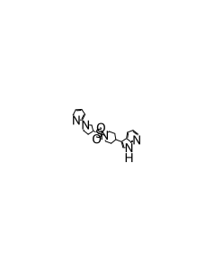 O=S(=O)(C1CCN(c2ccccn2)C1)N1CCC(c2c[nH]c3ncccc23)CC1